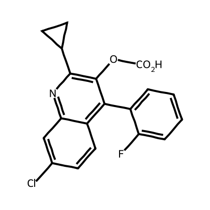 O=C(O)Oc1c(C2CC2)nc2cc(Cl)ccc2c1-c1ccccc1F